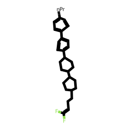 CCCc1ccc(-c2ccc(C3CCC(C4CCC(CCC=C(F)F)CC4)CC3)cc2)cc1